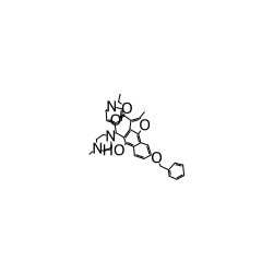 CCOC(=O)c1c(C)oc2c1c(C(c1ccncc1)N1CCN(C)CC1)c(O)c1ccc(OCc3ccccc3)cc12